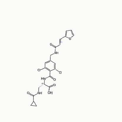 O=C(/C=C/c1ccco1)NCc1cc(Cl)c(C(=O)N[C@@H](CNC(=O)C2CC2)C(=O)O)c(Cl)c1